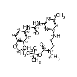 Cc1cc(NCCN(C)C(=O)OC(C)(C)C)nc(NC(=O)Nc2ccc3c(c2)OCO3)n1